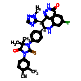 Cn1ncnc1[C@H]1c2n[nH]c(=O)c3cc(F)cc(c23)N[C@@H]1c1ccc(N2C(=S)N(c3ccc(C#N)c(C(F)(F)F)c3)C(=O)C2(C)C)cc1